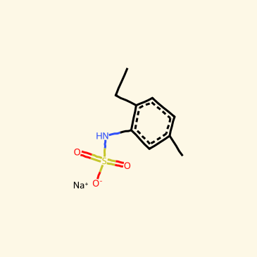 CCc1ccc(C)cc1NS(=O)(=O)[O-].[Na+]